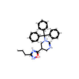 CCCc1noc(C2CN=CN(C(c3ccccc3)(c3ccccc3)c3ccccc3)C2)n1